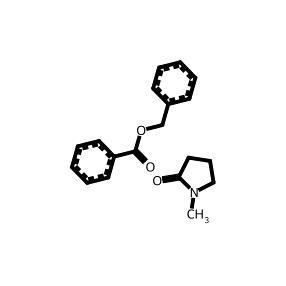 CN1CCCC1=O.O=C(OCc1ccccc1)c1ccccc1